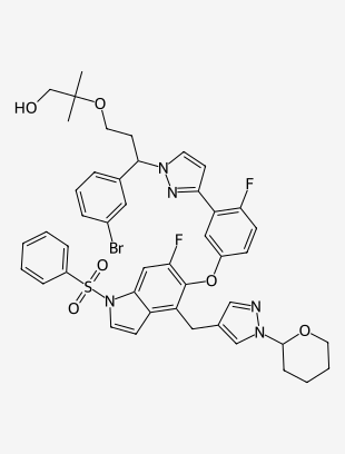 CC(C)(CO)OCCC(c1cccc(Br)c1)n1ccc(-c2cc(Oc3c(F)cc4c(ccn4S(=O)(=O)c4ccccc4)c3Cc3cnn(C4CCCCO4)c3)ccc2F)n1